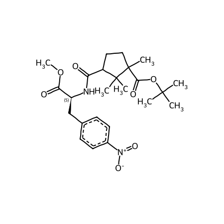 COC(=O)[C@H](Cc1ccc([N+](=O)[O-])cc1)NC(=O)C1CCC(C)(C(=O)OC(C)(C)C)C1(C)C